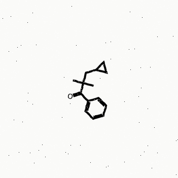 CC(C)(CC1CC1)C(=O)c1ccccc1